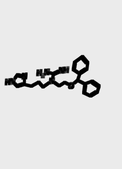 N=C(N)N(CCCc1c[nH]cn1)CCOC(c1ccccc1)c1ccccc1